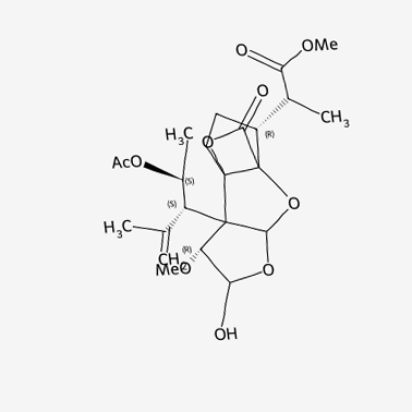 C=C(C)[C@H]([C@H](C)OC(C)=O)C12C(OC(O)[C@@H]1OC)OC13C(=O)OC12CC[C@@H]3C(C)C(=O)OC